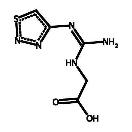 NC(=Nc1csnn1)NCC(=O)O